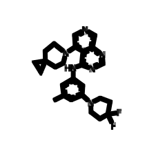 Cc1cc(Nc2ncnc3cncc(N4CCC5(CC4)CC5)c23)cc(N2CCC(F)(F)CC2)c1